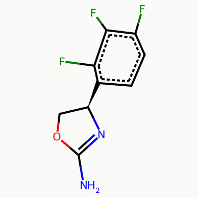 NC1=N[C@H](c2ccc(F)c(F)c2F)CO1